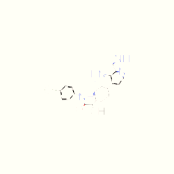 CC(C(=O)Nc1ccc(Cl)cc1)C1CCC(c2ccnc(C=N)c2N)CC1